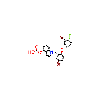 O=C(O)Oc1cccc2c1ccn2Cc1cc(Br)ccc1OCc1ccc(F)c(Br)c1